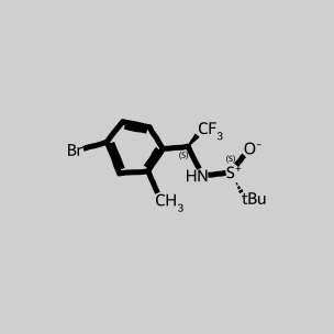 Cc1cc(Br)ccc1[C@H](N[S@+]([O-])C(C)(C)C)C(F)(F)F